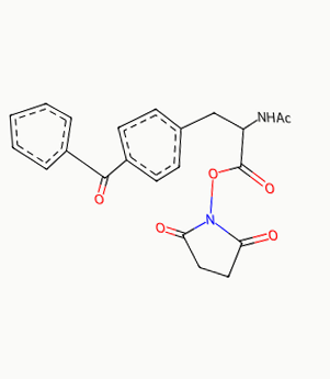 CC(=O)NC(Cc1ccc(C(=O)c2ccccc2)cc1)C(=O)ON1C(=O)CCC1=O